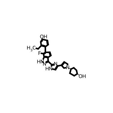 CCc1cc(O)ccc1-c1ccc2c(-c3nc(C4=CCN([C@H]5CC[C@@H](O)CC5)C4)c[nH]3)n[nH]c2c1F